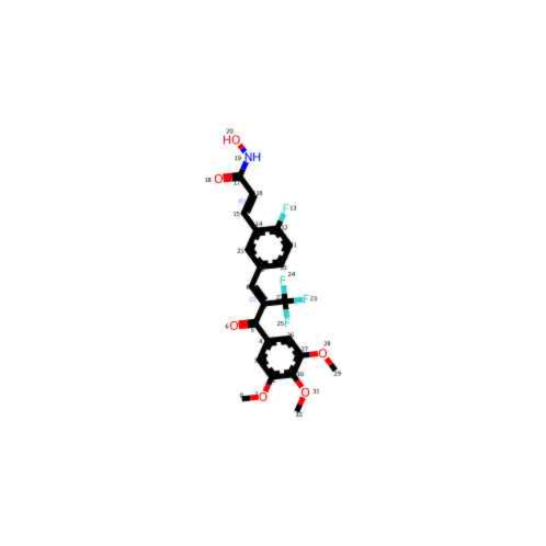 COc1cc(C(=O)/C(=C/c2ccc(F)c(/C=C/C(=O)NO)c2)C(F)(F)F)cc(OC)c1OC